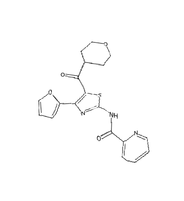 O=C(Nc1nc(-c2ccco2)c(C(=O)C2CCOCC2)s1)c1ccccn1